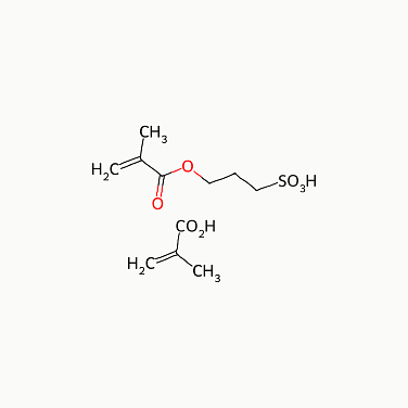 C=C(C)C(=O)O.C=C(C)C(=O)OCCCS(=O)(=O)O